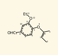 CC=C(C)Oc1ccc(C=O)cc1OCC